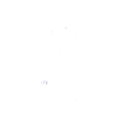 C1=CC2Nc3ccccc3C2c2ccccc21